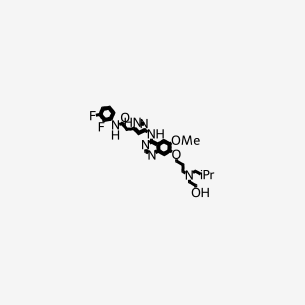 COc1cc2c(Nc3cc(CC(=O)Nc4cccc(F)c4F)[nH]n3)ncnc2cc1OCCCN(CCO)CC(C)C